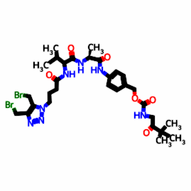 CC(C)C(NC(=O)CCCn1nnc(CBr)c1CBr)C(=O)N[C@@H](C)C(=O)Nc1ccc(COC(=O)NCC(=O)C(C)(C)C)cc1